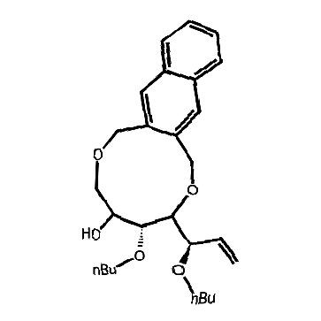 C=C[C@@H](OCCCC)C1OCc2cc3ccccc3cc2COCC(O)[C@H]1OCCCC